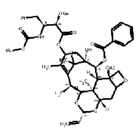 C=C[C@H]1O[C@H]2CC3OC[C@@]3(OC(C)=O)[C@H]3[C@H](OC(=O)c4ccccc4)[C@]4(O)CC(OC(=O)[C@H](OC)[C@H](CC(C)C)NC(=O)OC(C)(C)C)C(C)=C([C@H](C)[C@H](O1)[C@]23C)C4(C)C